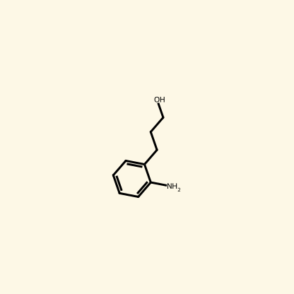 Nc1ccccc1CCCO